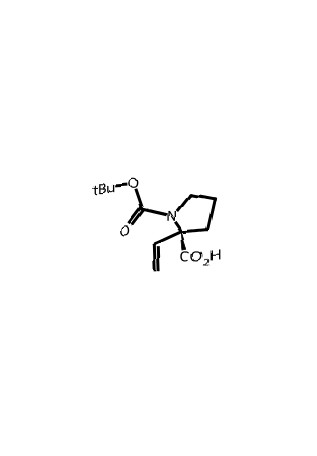 C=C[C@@]1(C(=O)O)CCCN1C(=O)OC(C)(C)C